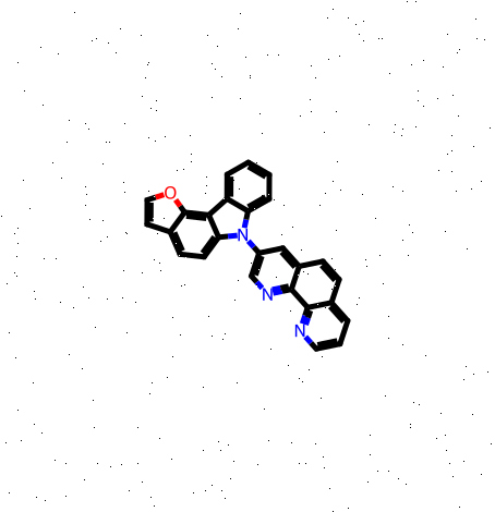 c1cnc2c(c1)ccc1cc(-n3c4ccccc4c4c5occc5ccc43)cnc12